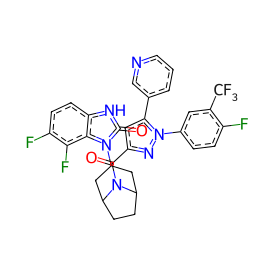 O=C(c1cc(-c2cccnc2)n(-c2ccc(F)c(C(F)(F)F)c2)n1)N1C2CCC1CC(n1c(=O)[nH]c3ccc(F)c(F)c31)C2